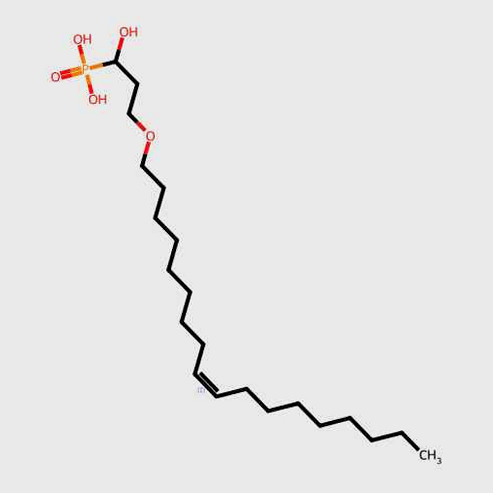 CCCCCCCC/C=C\CCCCCCCCOCCC(O)P(=O)(O)O